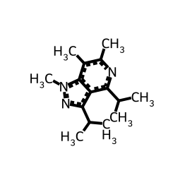 Cc1nc(C(C)C)c2c(C(C)C)nn(C)c2c1C